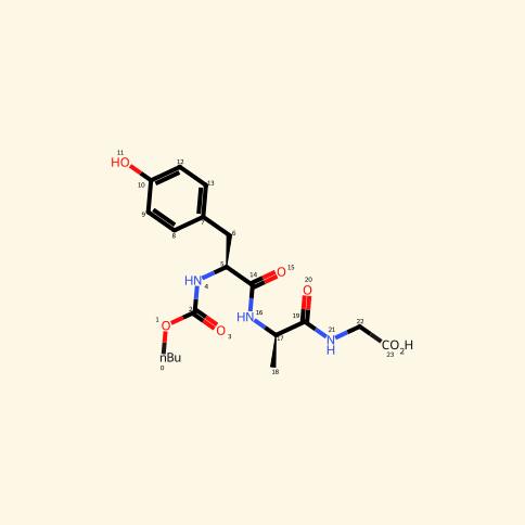 CCCCOC(=O)N[C@@H](Cc1ccc(O)cc1)C(=O)N[C@H](C)C(=O)NCC(=O)O